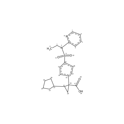 CCN(c1ccccn1)S(=O)(=O)c1ccc(C2(C(=O)O)CC2C2CCCC2)cc1